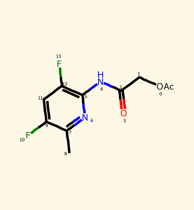 CC(=O)OCC(=O)Nc1nc(C)c(F)cc1F